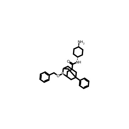 N[C@H]1CC[C@H](NC(=O)C23CC4CC(c5ccccc5)(CC(C2)N4OCc2ccccc2)C3)CC1